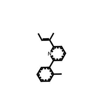 CC=C(C)c1cccc(-c2ccccc2C)n1